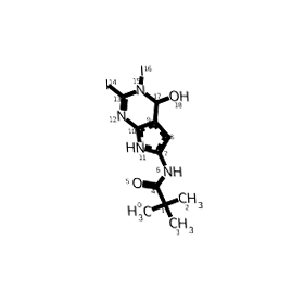 CC(C)(C)C(=O)Nc1cc2c([nH]1)N=C(I)N(I)C2O